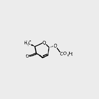 C[C@H]1O[C@H](OC(=O)O)C=CC1=O